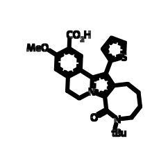 COc1cc2c(cc1C(=O)O)-c1c(-c3cccs3)c3c(n1CC2)C(=O)N(C(C)(C)C)CCCC3